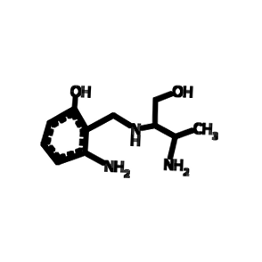 CC(N)C(CO)NCc1c(N)cccc1O